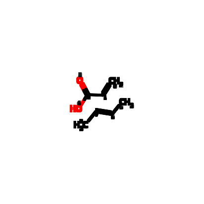 C=CC(=O)O.CC=CC